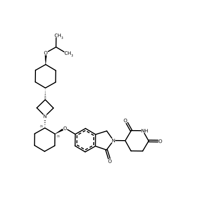 CC(C)O[C@H]1CC[C@H](C2CN([C@H]3CCCC[C@@H]3Oc3ccc4c(c3)CN(C3CCC(=O)NC3=O)C4=O)C2)CC1